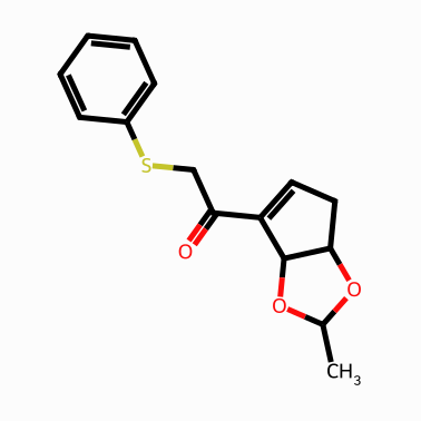 CC1OC2CC=C(C(=O)CSc3ccccc3)C2O1